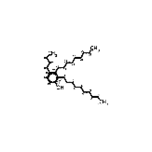 CCCCCCCCCCc1c(O)ccc(CCCC)c1CCCCCCCCC